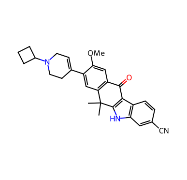 COc1cc2c(cc1C1=CCN(C3CCC3)CC1)C(C)(C)c1[nH]c3cc(C#N)ccc3c1C2=O